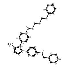 Cc1ccc(-c2ccc(OCc3ccccc3)cc2)n1-c1ccc(OCCCCCc2ccccc2)cc1